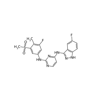 Cc1c(F)cc(Nc2nccc(Nc3n[nH]c4ccc(F)cc34)n2)cc1S(C)(=O)=O